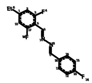 CCc1cc(F)c(C=NN=Cc2ccc(F)cc2)c(F)c1